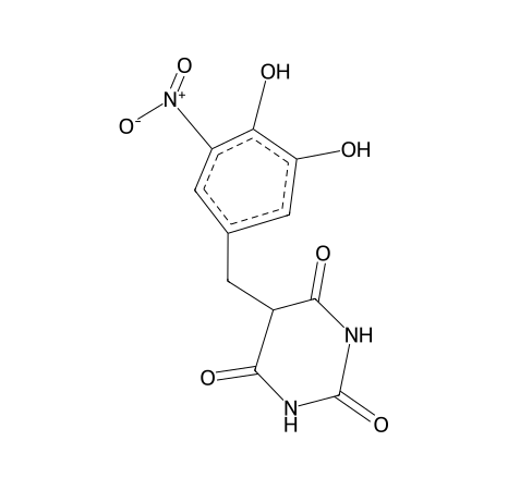 O=C1NC(=O)C(Cc2cc(O)c(O)c([N+](=O)[O-])c2)C(=O)N1